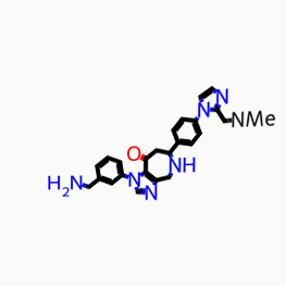 CNCc1nccn1-c1ccc(C2CC(=O)c3c(ncn3-c3cccc(CN)c3)CN2)cc1